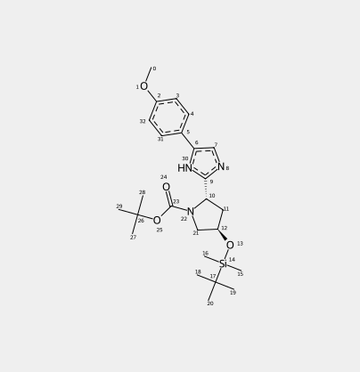 COc1ccc(-c2cnc([C@@H]3C[C@@H](O[Si](C)(C)C(C)(C)C)CN3C(=O)OC(C)(C)C)[nH]2)cc1